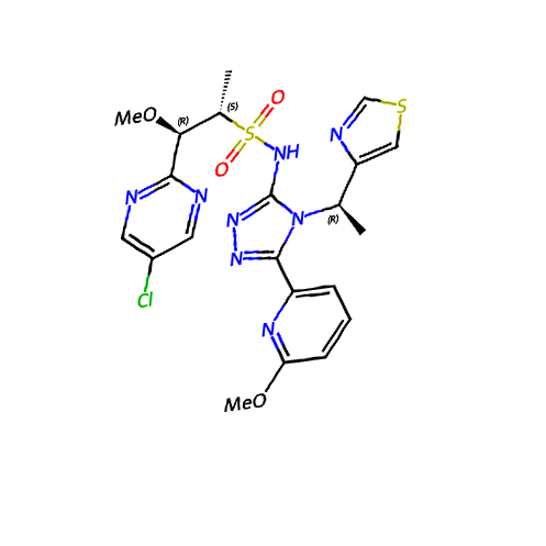 COc1cccc(-c2nnc(NS(=O)(=O)[C@@H](C)[C@H](OC)c3ncc(Cl)cn3)n2[C@H](C)c2cscn2)n1